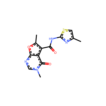 Cc1csc(NC(=O)c2c(C)oc3ncn(C)c(=O)c23)n1